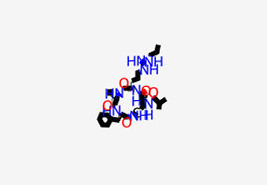 CCCNC(=N)NCCC[C@@H]1NC(=O)[C@](C)(NC(=O)C(C)C)CCNC(=O)[C@@H](CC2CCCCC2)NC(=O)[C@H](CC)NC1=O